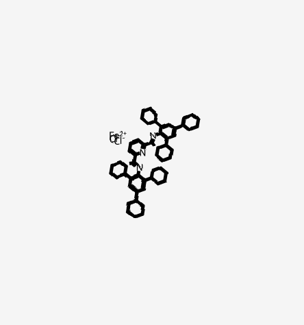 CC(=Nc1c(C2CCCCC2)cc(C2CCCCC2)cc1C1CCCCC1)c1cccc(C(C)=Nc2c(C3CCCCC3)cc(C3CCCCC3)cc2C2CCCCC2)n1.[Cl-].[Cl-].[Fe+2]